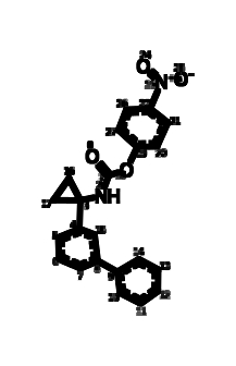 O=C(NC1(c2cccc(-c3ccccc3)c2)CC1)Oc1ccc([N+](=O)[O-])cc1